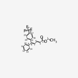 CCOC(=O)C=CC=C(c1ccccc1)c1ccc(C(F)(F)F)cc1